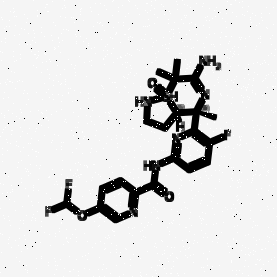 CC1(C)C(N)=N[C@](C)(c2nc(NC(=O)c3ccc(OC(F)F)cn3)ccc2F)[C@@H]2CCN[SH]21=O